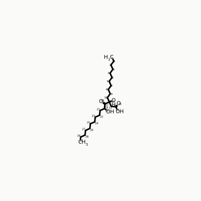 CCCCCCCCCCCC(O)(CC(=O)O)C(=O)C(O)CCCCCCCCCC